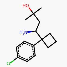 CC(C)(O)C[C@H](N)C1(c2ccc(Cl)cc2)CCC1